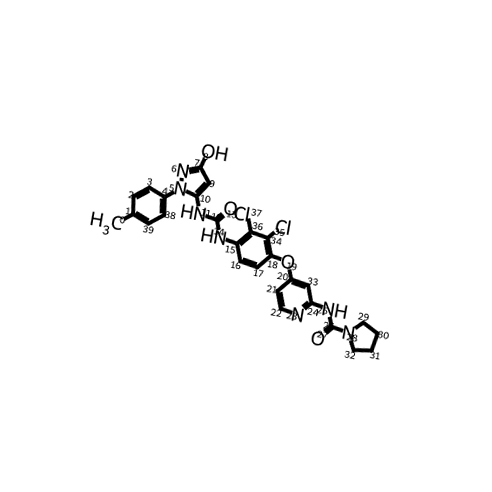 Cc1ccc(-n2nc(O)cc2NC(=O)Nc2ccc(Oc3ccnc(NC(=O)N4CCCC4)c3)c(Cl)c2Cl)cc1